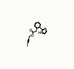 O=C(Cc1ccccc1-c1ncc[nH]1)OCC#CI